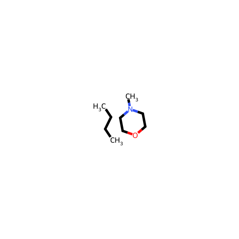 CCCC.CN1CCOCC1